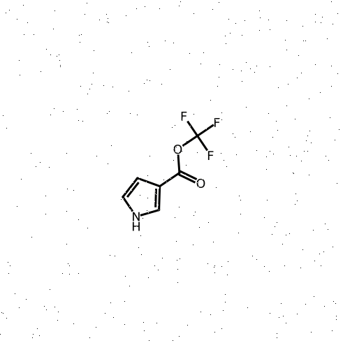 O=C(OC(F)(F)F)c1cc[nH]c1